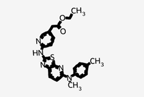 CCOC(=O)Cc1ccc(Nc2nc3ccc(N(C)c4ccc(C)cc4)nc3s2)nc1